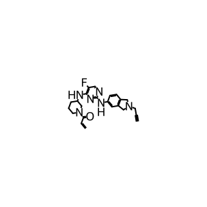 C#CCN1Cc2ccc(Nc3ncc(F)c(NC4CCCN(C(=O)C=C)C4)n3)cc2C1